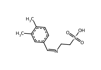 Cc1ccc(/C=N\CCS(=O)(=O)O)cc1C